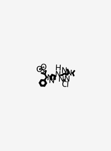 CC(C)n1cnc2c(Nc3cnn(C(c4ccccc4)C4CS(=O)(=O)C4)c3)nc(Cl)nc21